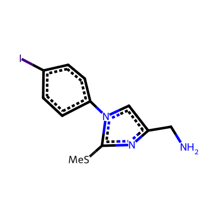 CSc1nc(CN)cn1-c1ccc(I)cc1